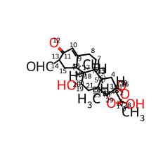 CC1O[C@@H]2C[C@H]3[C@@H]4CCC5=CC(=O)C(C=O)C[C@]5(C)[C@H]4[C@@H](O)C[C@]3(C)[C@]2(C(=O)CO)O1